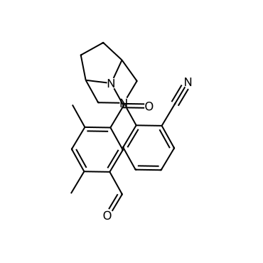 Cc1cc(C)c(C(=O)N2C3CCC2CN(c2ccccc2C#N)C3)cc1C=O